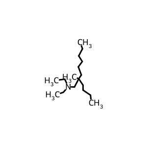 CCCCCCC(C)(CCCC)CN(CC)CC